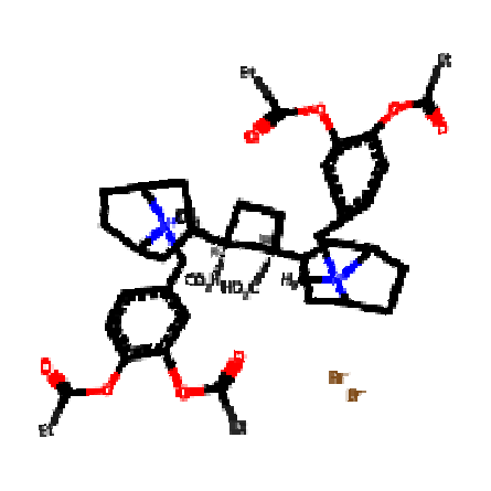 CCC(=O)Oc1ccc(C[N+]2(C)C3CCC2CC([C@@]2(C(=O)O)CC[C@@]2(C(=O)O)C2CC4CCC(C2)[N+]4(C)Cc2ccc(OC(=O)CC)c(OC(=O)CC)c2)C3)cc1OC(=O)CC.[Br-].[Br-]